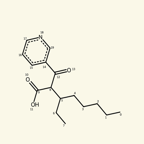 CCCCCC(CC)C(C(=O)O)C(=O)c1cccnc1